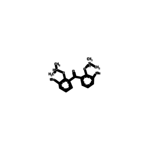 C[SiH](C)Oc1c(C(=O)c2cccc(C(C)(C)C)c2O[SiH](C)C)cccc1C(C)(C)C